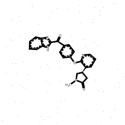 CN1C[C@@H](c2cccnc2Oc2ccc(C(=O)c3nc4ccccc4[nH]3)cc2)CC1=O